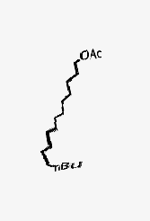 CCCC/C=C\C=C\CCCCCCCCOC(C)=O